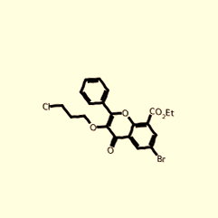 CCOC(=O)c1cc(Br)cc2c(=O)c(OCCCCl)c(-c3ccccc3)oc12